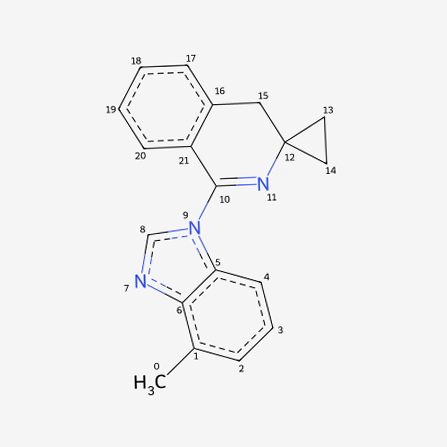 Cc1cccc2c1ncn2C1=NC2(CC2)Cc2ccccc21